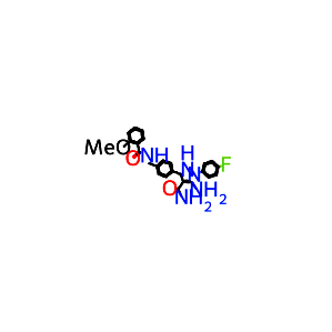 COc1ccccc1C(=O)NCc1ccc(C2NN(c3ccc(F)cc3)C(N)=C2C(N)=O)cc1